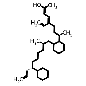 C=CC[C@H](CCCC[C@@H](C)CC1CCCCC1[C@H](C)CC/C(C=C)=C/C=C(\C)O)C1CCCCC1